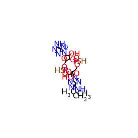 CC(C)(C)Nc1ncnc2c1ncn2C1(O)OC2COP(=O)(S)OC3C(COP(=O)(S)O[C@@H]21)OC(n1cnc2c(N)ncnc21)C3O